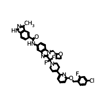 Cc1n[nH]c2ccc(C(=O)Nc3ccc4c(c3)nc(C(F)(F)N3CC=C(c5cccc(OCc6ccc(Cl)cc6F)n5)CC3)n4C[C@@H]3CCO3)cc12